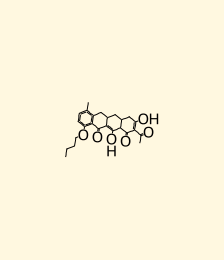 CCCCOc1ccc(C)c2c1C(=O)C1=C(O)C3C(=O)C(C(C)=O)=C(O)CC3CC1C2